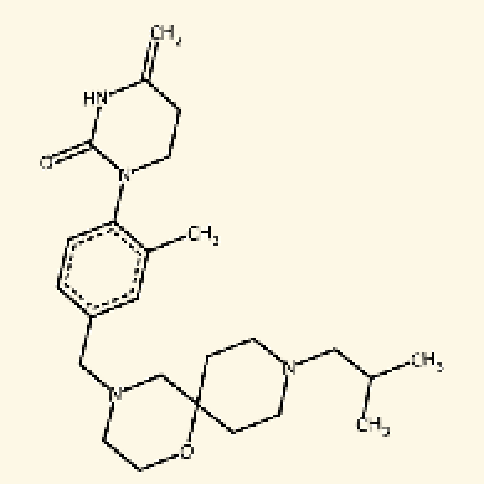 C=C1CCN(c2ccc(CN3CCOC4(CCN(CC(C)C)CC4)C3)cc2C)C(=O)N1